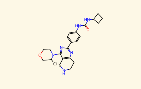 CC1COCCN1c1nc(-c2ccc(NC(=O)NC3CCC3)cc2)nc2c1CNCC2